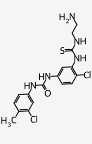 Cc1ccc(NC(=O)Nc2ccc(Cl)c(NC(=S)NCCN)c2)cc1Cl